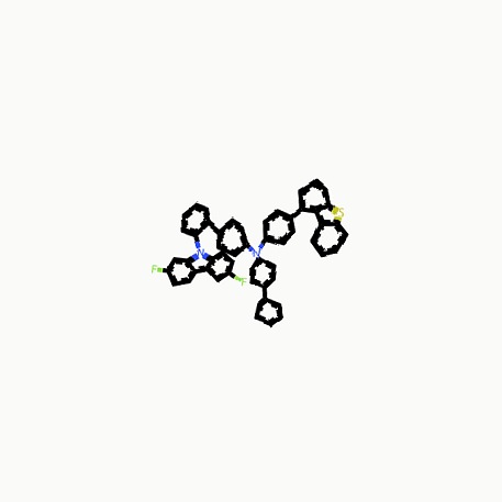 Fc1ccc2c(c1)c1ccc(F)cc1n2-c1ccccc1-c1ccc(N(c2ccc(-c3ccccc3)cc2)c2ccc(-c3cccc4sc5ccccc5c34)cc2)cc1